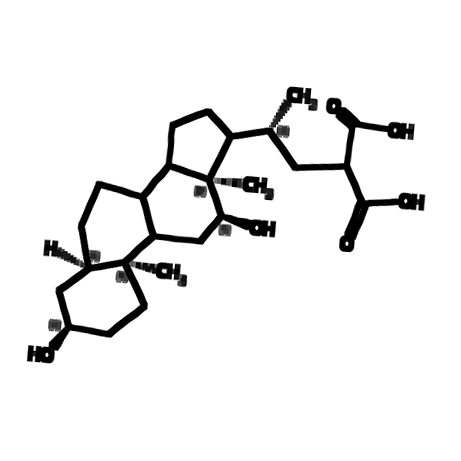 C[C@H](CC(C(=O)O)C(=O)O)C1CCC2C3CC[C@@H]4C[C@H](O)CC[C@]4(C)C3C[C@H](O)[C@@]21C